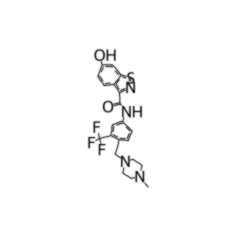 CN1CCN(Cc2ccc(NC(=O)c3nsc4cc(O)ccc34)cc2C(F)(F)F)CC1